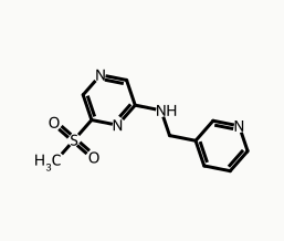 CS(=O)(=O)c1cncc(NCc2cccnc2)n1